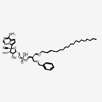 CCCCCCCCCCCCCCCCCCOC[C@@H](COCc1ccccc1)COP(=O)(O)OC[C@H]1O[C@@](C#N)(c2ccc3c(N)ncnn23)[C@H](O)[C@@H]1O